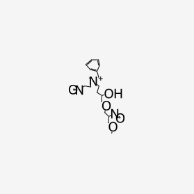 COCC(COCC(O)CC[N+](C)(CCN=O)Cc1ccccc1)N=O